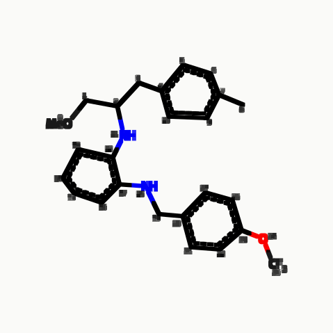 COCC(Cc1ccc(C)cc1)Nc1ccccc1NCc1ccc(OC(F)(F)F)cc1